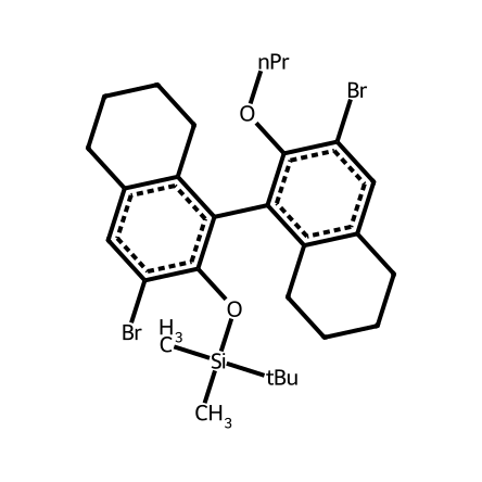 CCCOc1c(Br)cc2c(c1-c1c3c(cc(Br)c1O[Si](C)(C)C(C)(C)C)CCCC3)CCCC2